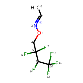 C/C=N/OCC(F)(F)C(F)C(F)(F)F